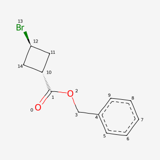 O=C(OCc1ccccc1)[C@H]1C[C@H](Br)C1